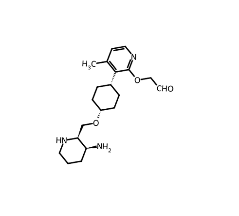 Cc1ccnc(OCC=O)c1[C@H]1CC[C@@H](OC[C@@H]2NCCC[C@@H]2N)CC1